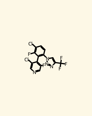 Fc1cncc(Cl)c1-c1c(-n2cc(C(F)(F)F)nn2)ccc(Cl)c1F